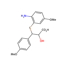 COc1ccc(C(Sc2cc(OC)ccc2N)C(O)C(=O)O)cc1